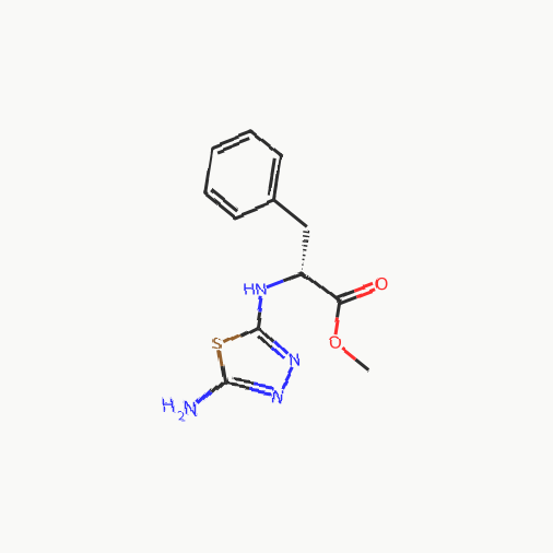 COC(=O)[C@@H](Cc1ccccc1)Nc1nnc(N)s1